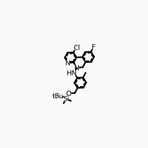 Cc1ccc(CO[Si](C)(C)C(C)(C)C)cc1NN1Cc2ccc(F)cc2-c2c(Cl)ccnc21